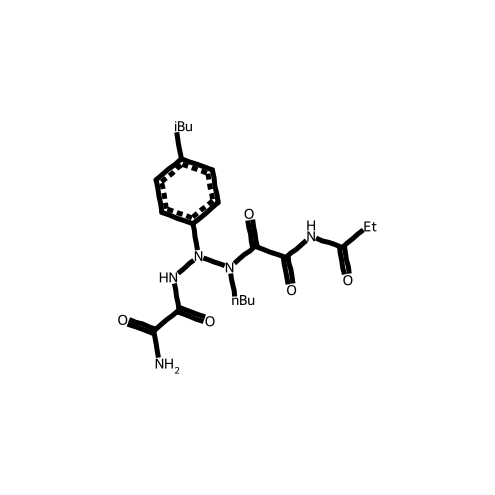 CCCCN(C(=O)C(=O)NC(=O)CC)N(NC(=O)C(N)=O)c1ccc(C(C)CC)cc1